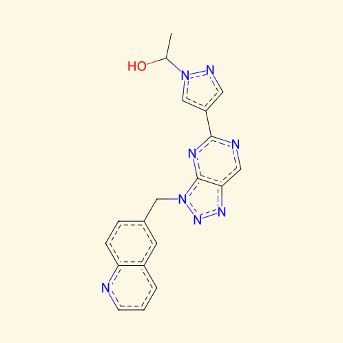 CC(O)n1cc(-c2ncc3nnn(Cc4ccc5ncccc5c4)c3n2)cn1